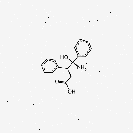 N[C@@](O)(c1ccccc1)[C@@H](CC(=O)O)c1ccccc1